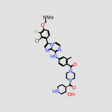 CNCOc1ccc(-c2cnc3c(Nc4ccc(C(=O)N5CCN(C(=O)[C@@H]6CCNC[C@H]6O)CC5)c(C)c4)nccn23)c(Cl)c1F